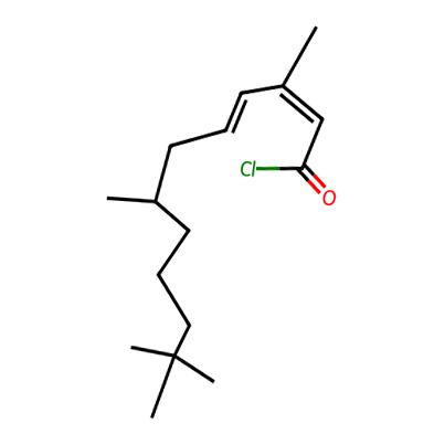 CC(C=CCC(C)CCCC(C)(C)C)=CC(=O)Cl